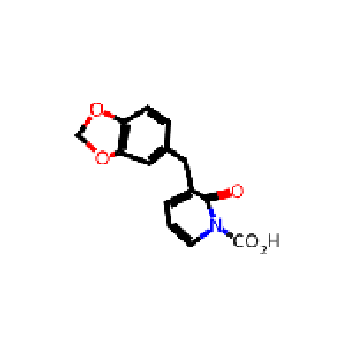 O=C(O)n1cccc(Cc2ccc3c(c2)OCO3)c1=O